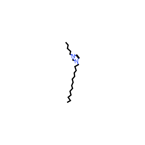 CCCCCCCCCCCCCCN1C=CN(CCCCC)C1